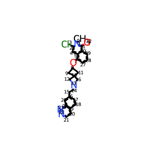 Cn1c(Cl)cc2c(OC3CC4(C3)CN(CCc3ccc5ccnnc5c3)C4)cccc2c1=O